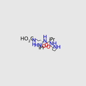 CC(C)NC(=O)[C@H](CCCNC(=O)O)NC(=O)[C@@H](NC(=O)[C@@H]1CCCN1)C(C)C